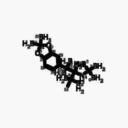 BC(B)(B)NC(B)(C(B)(B)C)C(B)(B)c1ccc2c(c1)OC(B)(B)O2